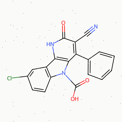 N#Cc1c(-c2ccccc2)c2c([nH]c1=O)c1cc(Cl)ccc1n2C(=O)O